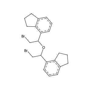 BrCC(OC(CBr)c1cccc2c1CCC2)c1cccc2c1CCC2